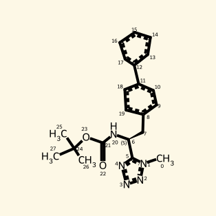 Cn1nnnc1[C@H](Cc1ccc(-c2ccccc2)cc1)NC(=O)OC(C)(C)C